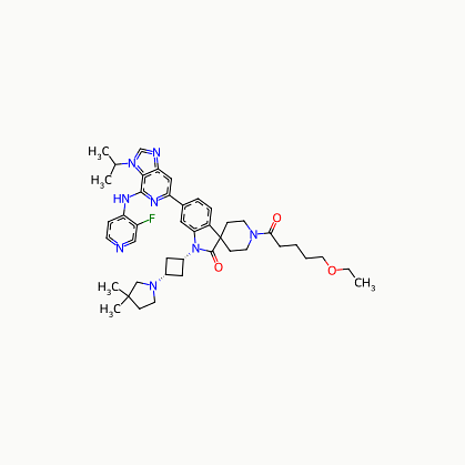 CCOCCCCC(=O)N1CCC2(CC1)C(=O)N([C@H]1C[C@@H](N3CCC(C)(C)C3)C1)c1cc(-c3cc4ncn(C(C)C)c4c(Nc4ccncc4F)n3)ccc12